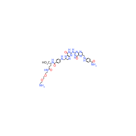 NCCOCCOCCNC(=O)CC[C@H](NC(=O)c1ccc(NCc2cnc3nc(Nc4nc5ncc(CNc6ccc(C(N)=O)cc6)nc5c(=O)[nH]4)[nH]c(=O)c3n2)cc1)C(=O)O